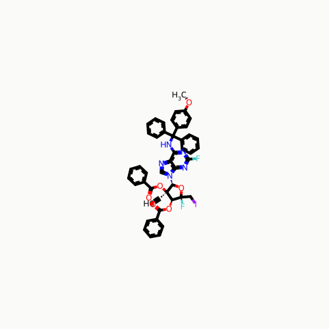 C#C[C@]1(OC(=O)c2ccccc2)[C@H](n2cnc3c(NC(c4ccccc4)(c4ccccc4)c4ccc(OC)cc4)nc(F)nc32)O[C@](F)(CI)[C@H]1OC(=O)c1ccccc1